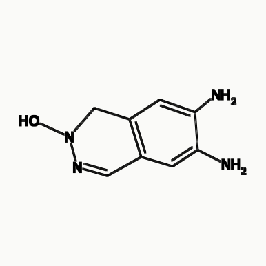 Nc1cc2c(cc1N)CN(O)N=C2